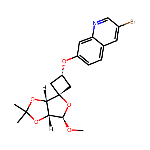 CO[C@@H]1O[C@]2(C[C@@H](Oc3ccc4cc(Br)cnc4c3)C2)[C@H]2OC(C)(C)O[C@@H]12